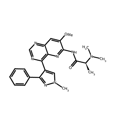 COc1cc2ncnc(-c3cn(C)nc3-c3ccccc3)c2nc1NC(=O)[C@H](C)N(C)C